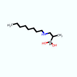 CCCCCCCCNCC(C)[SiH](O)O